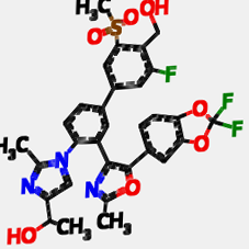 Cc1nc(-c2cc(-c3cc(F)c(CO)c(S(C)(=O)=O)c3)ccc2-n2cc(C(C)O)nc2C)c(-c2ccc3c(c2)OC(F)(F)O3)o1